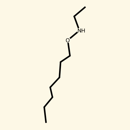 CCCCCCCONCC